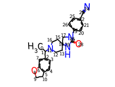 CC(c1ccc2c(c1)OCC2)N1CCC2(CC1)CN(c1ccc(C#N)cc1)C(=O)N2